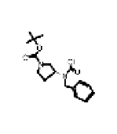 CC(C)(C)OC(=O)N1CC[C@@H](N(Cc2ccccc2)C(=O)O)C1